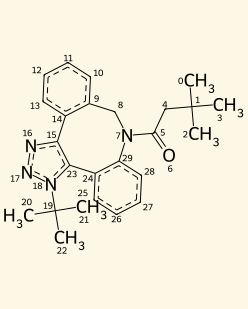 CC(C)(C)CC(=O)N1Cc2ccccc2-c2nnn(C(C)(C)C)c2-c2ccccc21